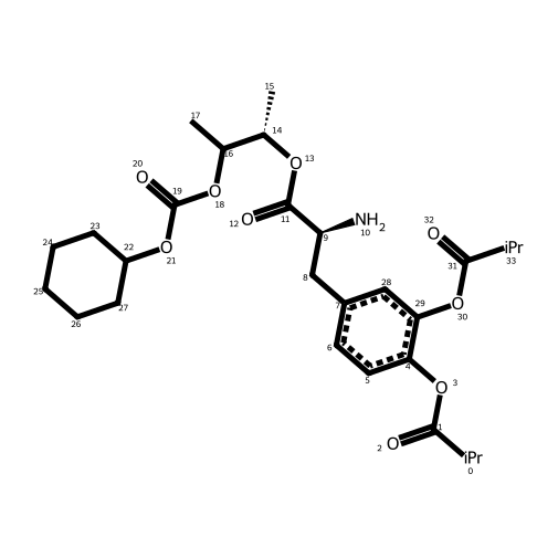 CC(C)C(=O)Oc1ccc(C[C@H](N)C(=O)O[C@@H](C)C(C)OC(=O)OC2CCCCC2)cc1OC(=O)C(C)C